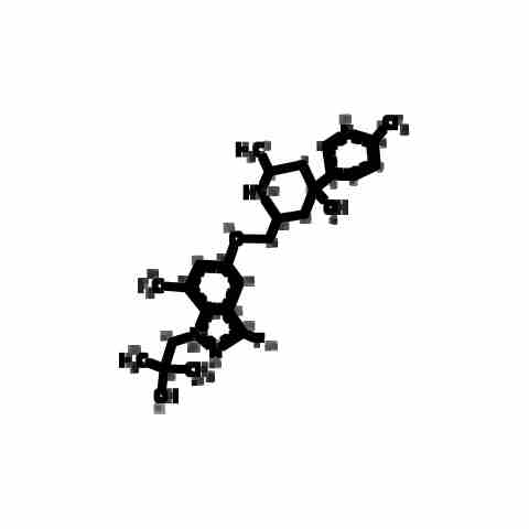 CC1CC(O)(c2ccc(C(F)(F)F)nc2)CC(COc2cc(C(F)(F)F)c3c(c2)c(F)nn3CC(C)(C)O)N1